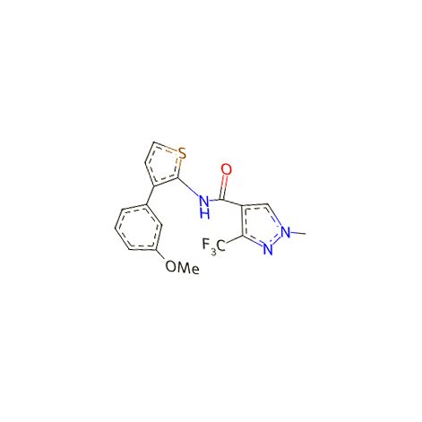 COc1cccc(-c2ccsc2NC(=O)c2cn(C)nc2C(F)(F)F)c1